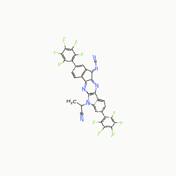 CC(C#N)n1c2cc(-c3c(F)c(F)c(F)c(F)c3F)ccc2c2nc3c(nc21)-c1ccc(-c2c(F)c(F)c(F)c(F)c2F)cc1/C3=N\C#N